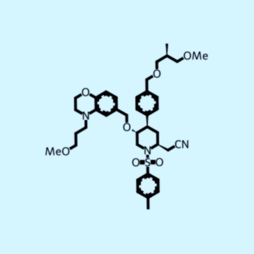 COCCCN1CCOc2ccc(CO[C@H]3CN(S(=O)(=O)c4ccc(C)cc4)[C@H](CC#N)C[C@@H]3c3ccc(COC[C@@H](C)COC)cc3)cc21